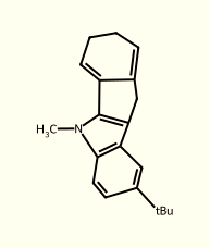 Cn1c2c(c3cc(C(C)(C)C)ccc31)CC1=CCCC=C12